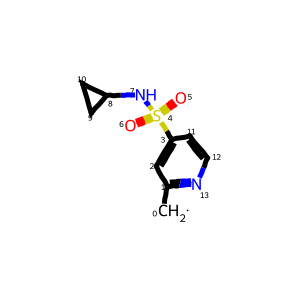 [CH2]c1cc(S(=O)(=O)NC2CC2)ccn1